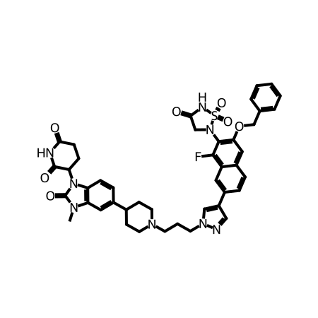 Cn1c(=O)n(C2CCC(=O)NC2=O)c2ccc(C3CCN(CCCn4cc(-c5ccc6cc(OCc7ccccc7)c(N7CC(=O)NS7(=O)=O)c(F)c6c5)cn4)CC3)cc21